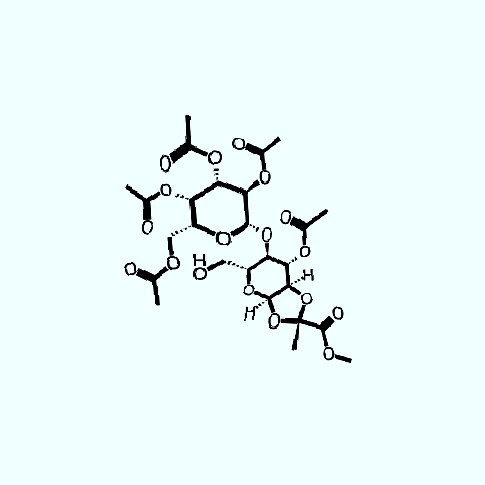 COC(=O)[C@]1(C)O[C@H]2O[C@H](CO)[C@@H](O[C@@H]3O[C@H](COC(C)=O)[C@H](OC(C)=O)[C@H](OC(C)=O)[C@H]3OC(C)=O)[C@H](OC(C)=O)[C@H]2O1